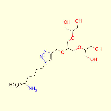 N[C@H](CCCCn1cc(COC(COC(CO)CO)COC(CO)CO)nn1)C(=O)O